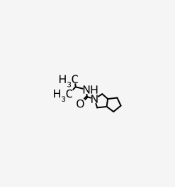 CC(C)NC(=O)N1CC2CCCC2C1